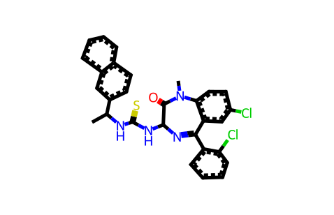 CC(NC(=S)NC1N=C(c2ccccc2Cl)c2cc(Cl)ccc2N(C)C1=O)c1ccc2ccccc2c1